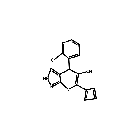 N#CC1=C(C2=CC=C2)Nc2n[nH]cc2C1c1ccccc1Cl